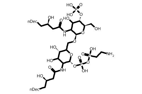 CCCCCCCCCCC[C@@H](O)CC(=O)NC1C(O)[C@H](O)C(CO[C@@H]2O[C@H](CO)[C@@H](OP(=O)(O)O)C(O)C2NC(=O)C[C@H](O)CCCCCCCCCCC)O[C@@H]1OP(=O)(O)OP(=O)(O)CCN